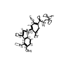 CS(=O)(=O)NC(=O)c1cc(Cl)c(-n2cc(Cl)c3c(Cl)c(O)ccc32)cc1F